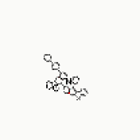 CC1(C)c2ccccc2-c2c(-c3ccccc3N(c3ccc(-c4ccc(-c5ccccc5)cc4)cc3)c3ccccc3-c3cccc4c3oc3ccccc34)cccc21